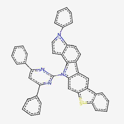 c1ccc(-c2cc(-c3ccccc3)nc(-n3c4cc5sc6ccccc6c5cc4c4ccc5c(ccn5-c5ccccc5)c43)n2)cc1